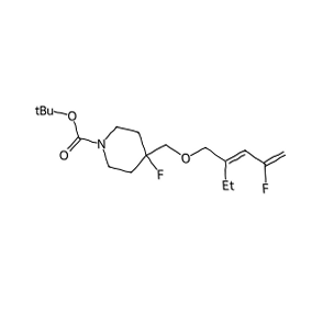 C=C(F)/C=C(\CC)COCC1(F)CCN(C(=O)OC(C)(C)C)CC1